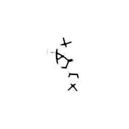 CC1(C)OCC([C@H]2OC3[C@@H]4OC(C)(C)O[C@@]34C2=O)O1